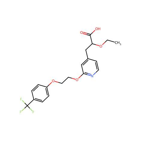 CCOC(Cc1ccnc(OCCOc2ccc(C(F)(F)F)cc2)c1)C(=O)O